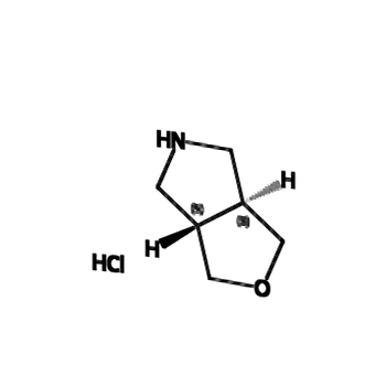 C1NC[C@H]2COC[C@H]12.Cl